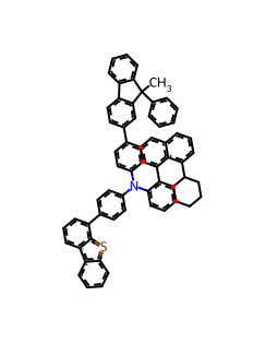 CC1(c2ccccc2)c2ccccc2-c2ccc(-c3ccc(N(c4ccc(-c5cccc6c5sc5ccccc56)cc4)c4ccccc4-c4cccc5cccc(C6CCCCC6)c45)cc3)cc21